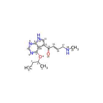 CCC(C)Oc1ncnc2[nH]cc(C(=O)/C=C/CNC)c12